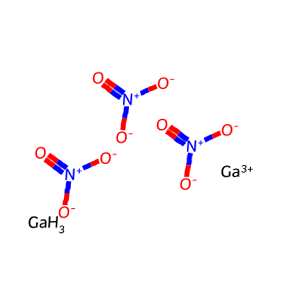 O=[N+]([O-])[O-].O=[N+]([O-])[O-].O=[N+]([O-])[O-].[Ga+3].[GaH3]